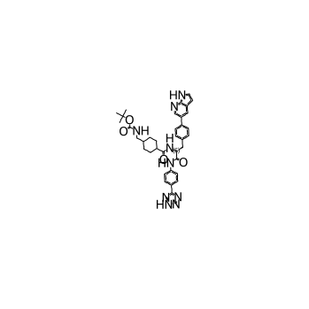 CC(C)(C)OC(=O)NCC1CCC(C(=O)N[C@@H](Cc2ccc(-c3cnc4[nH]ccc4c3)cc2)C(=O)Nc2ccc(-c3nn[nH]n3)cc2)CC1